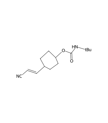 CC(C)(C)NC(=O)OC1CCC(C=CC#N)CC1